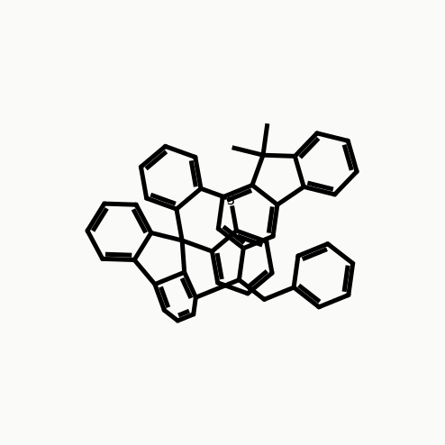 CC1(C)c2ccccc2-c2cc(C(Cc3ccccc3)c3cccc4c3C3(c5ccccc5Sc5ccccc53)c3ccccc3-4)ccc21